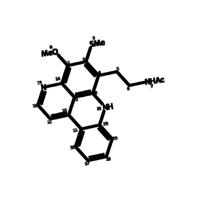 COc1c(SC)c(CCNC(C)=O)c2c3c(ccnc13)-c1ccccc1N2